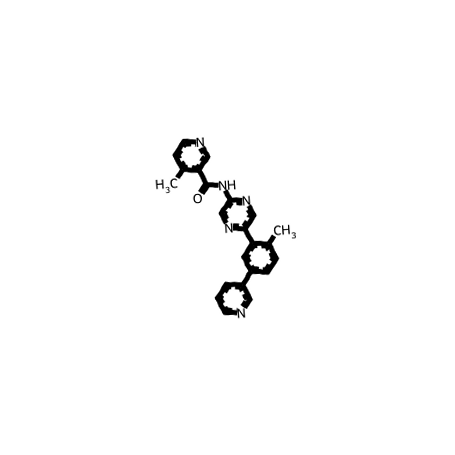 Cc1ccncc1C(=O)Nc1cnc(-c2cc(-c3cccnc3)ccc2C)cn1